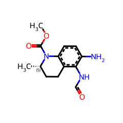 COC(=O)N1c2ccc(N)c(NC=O)c2CC[C@@H]1C